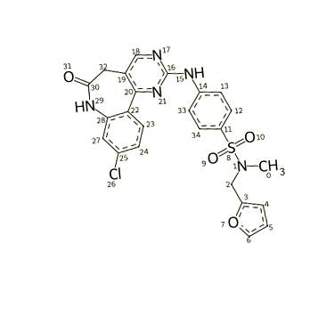 CN(Cc1ccco1)S(=O)(=O)c1ccc(Nc2ncc3c(n2)-c2ccc(Cl)cc2NC(=O)C3)cc1